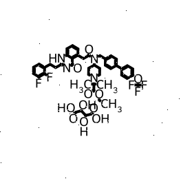 CCOC(=O)C(C)(C)N1CCC(N(Cc2ccc(-c3ccc(OC(F)(F)F)cc3)cc2)C(=O)Cc2cccc3[nH]c(CCc4cccc(F)c4F)nc(=O)c23)CC1.O=C(O)C(O)C(O)C(=O)O